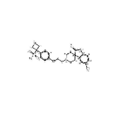 CCS(=O)(=O)C1(c2ccc(OCCN3CCC4(CC3)C(=O)Nc3ccc(C#N)cc34)cc2)COC1